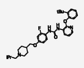 CC(C)CN1CCC(COc2ccc(NC(=O)Nc3cccnc3Oc3ccccc3C(C)(C)C)c(F)c2)CC1